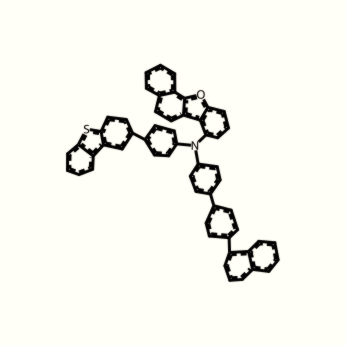 c1ccc2c(-c3ccc(-c4ccc(N(c5ccc(-c6ccc7sc8ccccc8c7c6)cc5)c5cccc6oc7c8ccccc8ccc7c56)cc4)cc3)cccc2c1